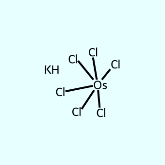 [Cl][Os]([Cl])([Cl])([Cl])([Cl])[Cl].[KH]